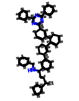 CCC(/C=C/C(NCc1ccccc1)c1cccc(C2C=C(C3=CC=CCC3C3=CC(c4nc(-c5ccccc5)nc(-c5ccccc5)n4)CC=C3)CCC2)c1)c1ccccc1